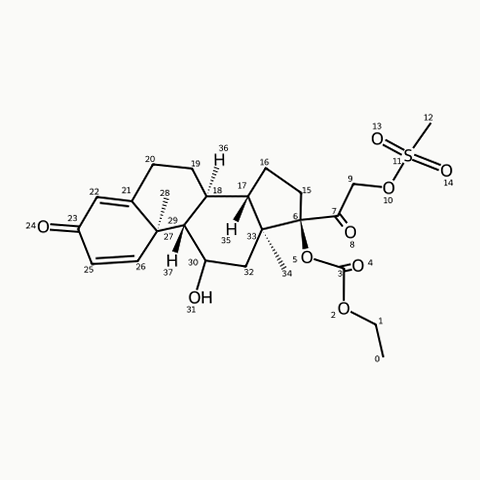 CCOC(=O)O[C@]1(C(=O)COS(C)(=O)=O)CC[C@H]2[C@@H]3CCC4=CC(=O)C=C[C@]4(C)[C@H]3C(O)C[C@@]21C